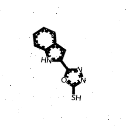 Sc1nnc(-c2cc3ccccc3[nH]2)o1